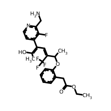 CCOC(=O)Cc1ccccc1OC(C)/C(=C/C(=C(\C)O)c1ccnc(CN)c1F)C(F)(F)F